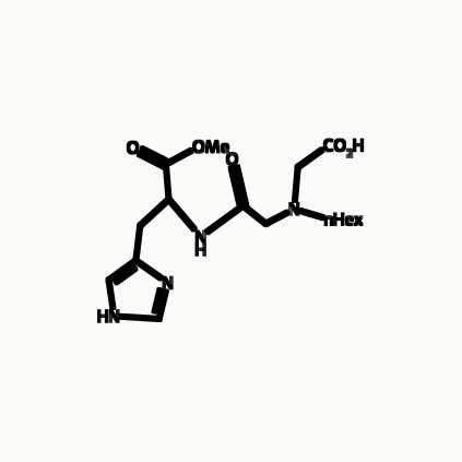 CCCCCCN(CC(=O)O)CC(=O)NC(Cc1c[nH]cn1)C(=O)OC